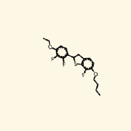 CCCCOc1ccc2c(c1F)SC(c1ccc(OCC)c(F)c1F)C2